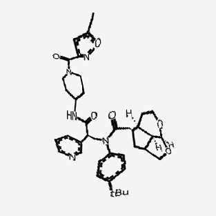 Cc1cc(C(=O)N2CCC(NC(=O)C(c3cccnc3)N(C(=O)[C@@H]3CC4CO[C@@H]5OCC[C@H]3[C@H]45)c3ccc(C(C)(C)C)cc3)CC2)no1